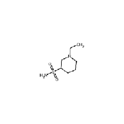 CCN1CCCC(S(N)(=O)=O)C1